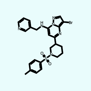 Cc1ccc(S(=O)(=O)N2CCCC(c3cc(NCc4cccnc4)n4ncc(Br)c4n3)C2)cc1